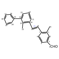 Cc1cc(C=O)ccc1/C=C/c1cccc(-c2ccccc2)c1C